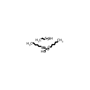 CCCCCCOOP(O)OOCCCCCC.CCCSSS